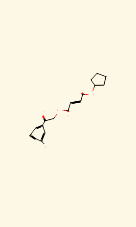 Cc1cccc(C(=O)COC(=O)/C=C/C(=O)OC2CCCC2)c1